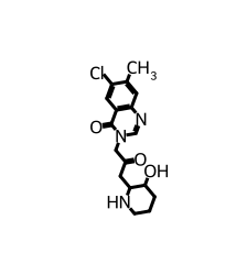 Cc1cc2ncn(CC(=O)CC3NCCCC3O)c(=O)c2cc1Cl